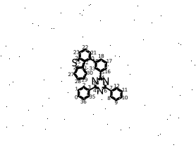 c1ccc(-c2nc(-c3ccccc3)nc(-c3cccc(-c4cccc5sc6ccccc6c45)c3)n2)cc1